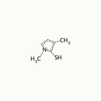 Cc1ccn(C)c1S